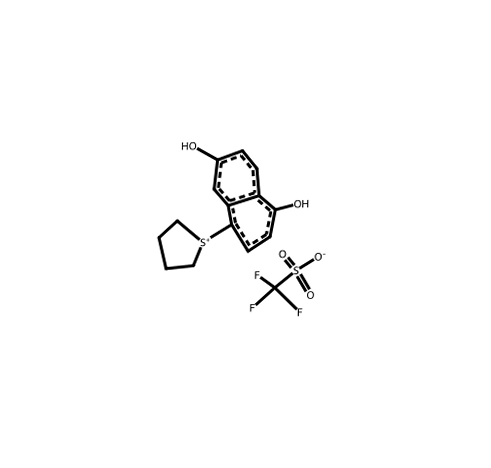 O=S(=O)([O-])C(F)(F)F.Oc1ccc2c(O)ccc([S+]3CCCC3)c2c1